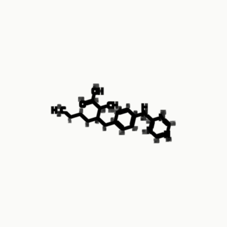 CCCCC(Cc1ccc(Nc2ncncn2)cc1)C(C)C(=O)O